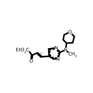 CCOC(=O)C(=O)/C=C/c1cnc(N(C)C2CCOCC2)nc1